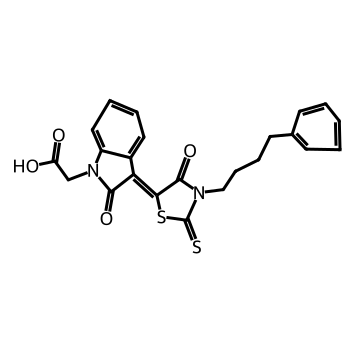 O=C(O)CN1C(=O)/C(=C2\SC(=S)N(CCCCc3ccccc3)C2=O)c2ccccc21